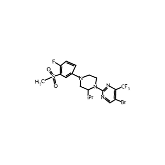 CC(C)C1CN(c2ccc(F)c(S(C)(=O)=O)c2)CCN1c1ncc(Br)c(C(F)(F)F)n1